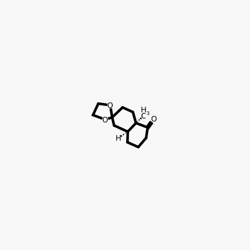 C[C@@]12CCC3(C[C@@H]1CCCC2=O)OCCO3